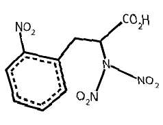 O=C(O)C(Cc1ccccc1[N+](=O)[O-])N([N+](=O)[O-])[N+](=O)[O-]